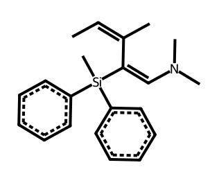 C/C=C(C)\C(=C/N(C)C)[Si](C)(c1ccccc1)c1ccccc1